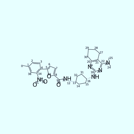 Cc1ccc(-c2ccc(C(=O)NC[C@H]3CC[C@@H](Nc4nc5c(c(N(C)C)n4)CCCC5)CC3)o2)c([N+](=O)[O-])c1